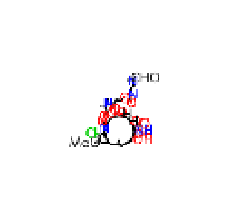 COc1cc2cc(c1Cl)N(C)C(=O)C[C@H](OC(=O)[C@H](C)N(C)C(=O)CCOC(=O)N(C)CCN(C)C=O)[C@]1(C)O[C@H]1[C@H](C)[C@@H]1C[C@@](O)(NC(=O)O1)[C@H](O)/C=C/C=C(\C)C2